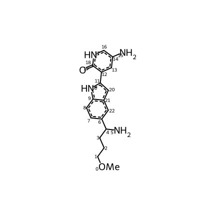 COCCCC(N)c1ccc2[nH]c(-c3cc(N)c[nH]c3=O)cc2c1